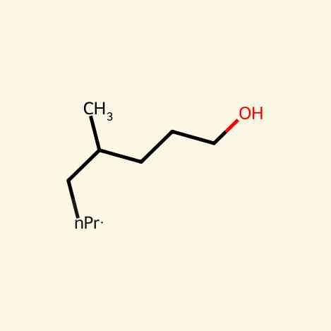 CC[CH]CC(C)CCCO